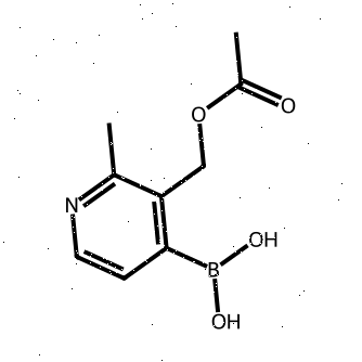 CC(=O)OCc1c(B(O)O)ccnc1C